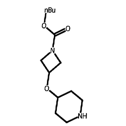 CCCCOC(=O)N1CC(OC2CCNCC2)C1